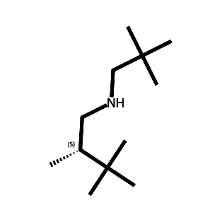 C[C@H](CNCC(C)(C)C)C(C)(C)C